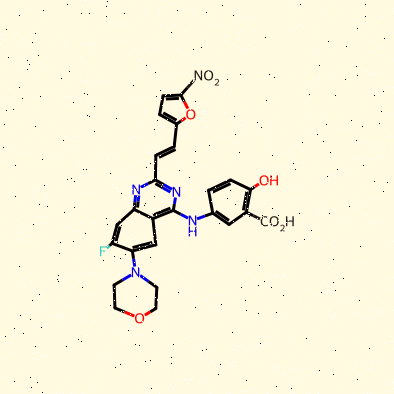 O=C(O)c1cc(Nc2nc(C=Cc3ccc([N+](=O)[O-])o3)nc3cc(F)c(N4CCOCC4)cc23)ccc1O